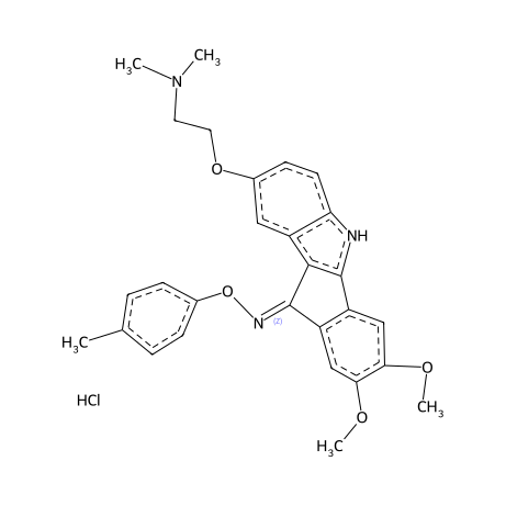 COc1cc2c(cc1OC)-c1[nH]c3ccc(OCCN(C)C)cc3c1/C2=N\Oc1ccc(C)cc1.Cl